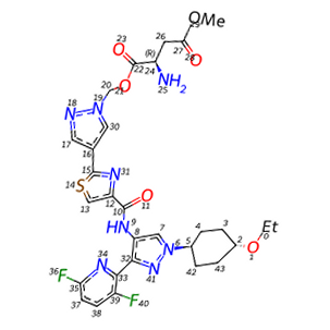 CCO[C@H]1CC[C@H](n2cc(NC(=O)c3csc(-c4cnn(COC(=O)[C@H](N)CC(=O)OC)c4)n3)c(-c3nc(F)ccc3F)n2)CC1